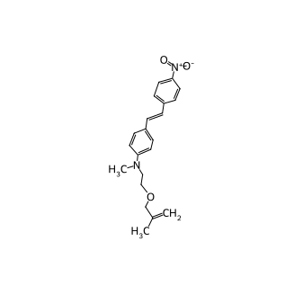 C=C(C)COCCN(C)c1ccc(/C=C/c2ccc([N+](=O)[O-])cc2)cc1